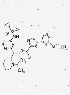 CCOc1cncc(-c2cnc(C(=O)NC[C@@H](c3cc(NS(=O)(=O)C4CC4)ccn3)[C@H]3CCCCN3C(C)C)s2)n1